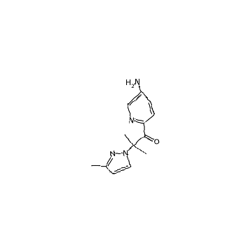 Cc1ccn(C(C)(C)C(=O)c2ccc(N)cn2)n1